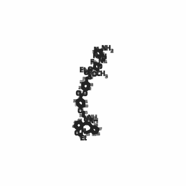 CCOP(=O)(O[C@@H]1C(C)O[C@@H](n2cnc3c(N)ncnc32)[C@@H]1F)SCc1ccc(OC(=O)c2ccc(OCCN3NNC4=C3c3ccccc3N(C(=O)CC)Cc3ccccc34)cc2)cc1